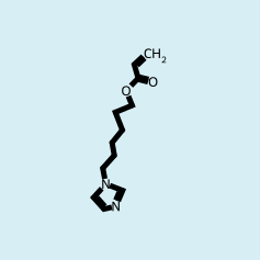 C=CC(=O)OCCCCCCn1ccnc1